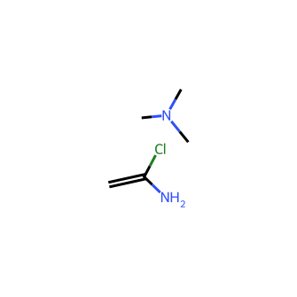 C=C(N)Cl.CN(C)C